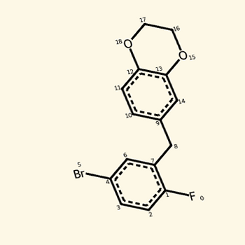 Fc1ccc(Br)cc1Cc1ccc2c(c1)OCCO2